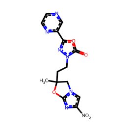 CC1(CCn2nc(-c3cnccn3)oc2=O)Cn2cc([N+](=O)[O-])nc2O1